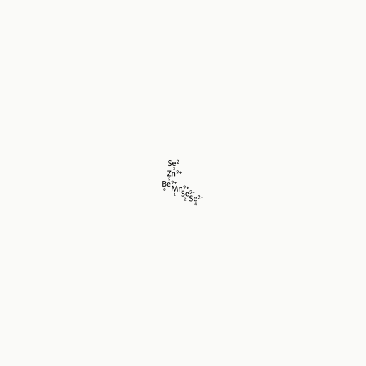 [Be+2].[Mn+2].[Se-2].[Se-2].[Se-2].[Zn+2]